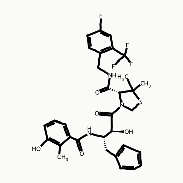 Cc1c(O)cccc1C(=O)N[C@@H](Cc1ccccc1)[C@H](O)C(=O)N1CSC(C)(C)[C@H]1C(=O)NCc1ccc(F)cc1C(F)(F)F